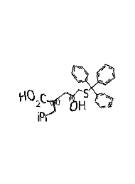 CC(C)C[C@H](C[C@@H](O)CSC(c1ccccc1)(c1ccccc1)c1ccccc1)C(=O)O